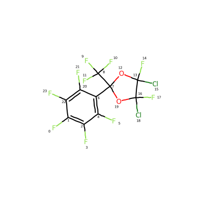 Fc1c(F)c(F)c(C2(C(F)(F)F)OC(F)(Cl)C(F)(Cl)O2)c(F)c1F